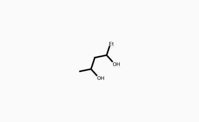 [CH2]CC(O)CC(C)O